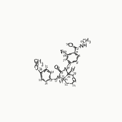 CNC(=O)c1ccc(N2C(=O)N(Cc3ccc(OC)cc3)[C@@H]3CCOC[C@H]32)cc1F